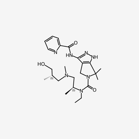 CCN(C(=O)N1Cc2c(NC(=O)c3ccccn3)n[nH]c2C1(C)C)[C@@H](C)CN(C)C[C@H](C)CO